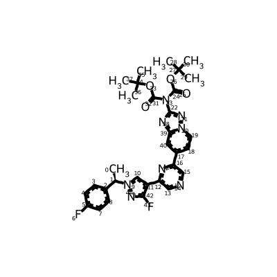 C[C@H](c1ccc(F)cc1)n1cc(-c2cncc(-c3ccn4nc(N(C(=O)OC(C)(C)C)C(=O)OC(C)(C)C)nc4c3)n2)c(F)n1